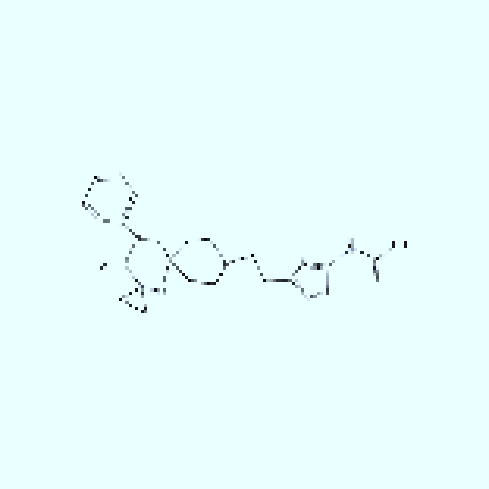 O=C(O)Nc1nc(CCN2CCC3(CC2)CN(c2ccccc2)C(=O)C2(CC2)O3)cs1